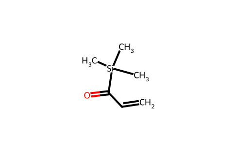 C=CC(=O)[Si](C)(C)C